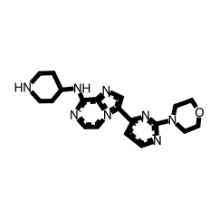 c1cc(-c2cnc3c(NC4CCNCC4)nccn23)nc(N2CCOCC2)n1